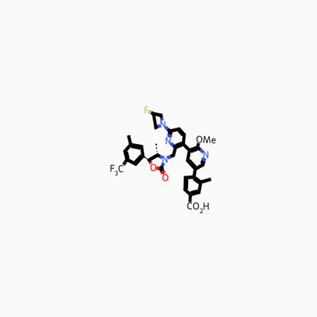 COc1ncc(-c2ccc(C(=O)O)cc2C)cc1-c1ccc(N2CC(F)C2)nc1CN1C(=O)O[C@H](c2cc(C)cc(C(F)(F)F)c2)[C@@H]1C